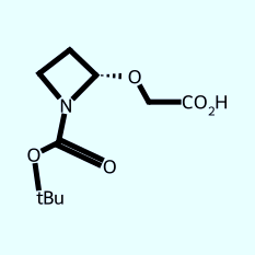 CC(C)(C)OC(=O)N1CC[C@@H]1OCC(=O)O